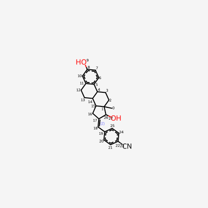 CC12CCC3c4ccc(O)cc4CCC3C1C/C(=C/c1ccc(C#N)cc1)C2O